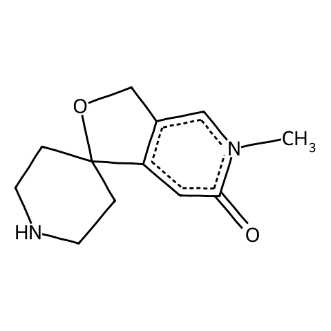 Cn1cc2c(cc1=O)C1(CCNCC1)OC2